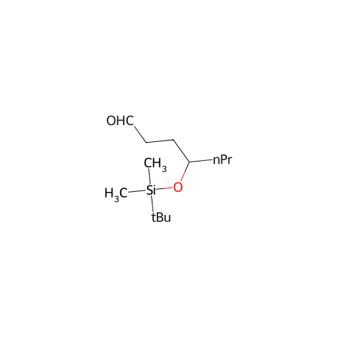 CCCC(CCC=O)O[Si](C)(C)C(C)(C)C